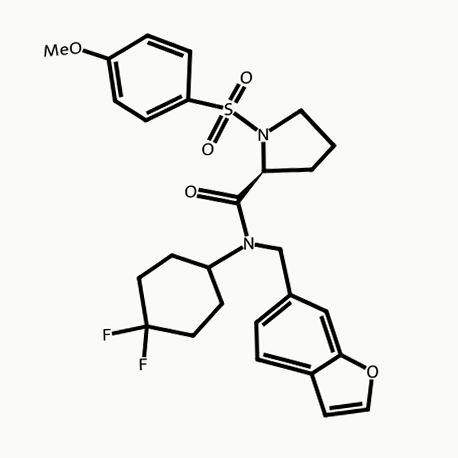 COc1ccc(S(=O)(=O)N2CCC[C@H]2C(=O)N(Cc2ccc3ccoc3c2)C2CCC(F)(F)CC2)cc1